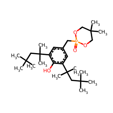 CC(C)(C)CC(C)(C)c1cc(CP2(=O)OCC(C)(C)CO2)cc(C(C)(C)CC(C)(C)C)c1O